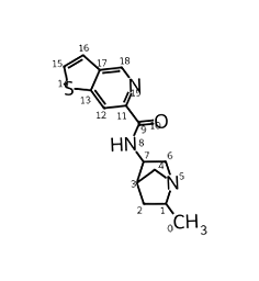 CC1CC2CN1CC2NC(=O)c1cc2sccc2cn1